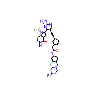 CCN1CCN(Cc2ccc(NC(=O)Cc3cccc(C#Cc4cnc(N)nc4-c4cc5c(n4C)CCNC5=O)c3)cc2F)CC1